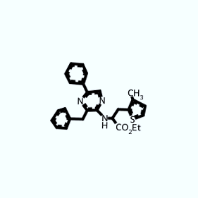 CCOC(=O)C(Cc1sccc1C)Nc1ncc(-c2ccccc2)nc1Cc1ccccc1